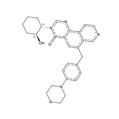 O=c1c2cc(Cc3ccc(N4CCOCC4)cc3)c3cnccc3c2ncn1[C@H]1CCCC[C@@H]1O